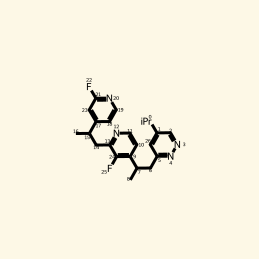 CC(C)c1cnnc(CC(C)c2ccnc(CC(C)c3ccnc(F)c3)c2F)c1